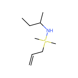 C=CCS(C)(C)NC(C)CC